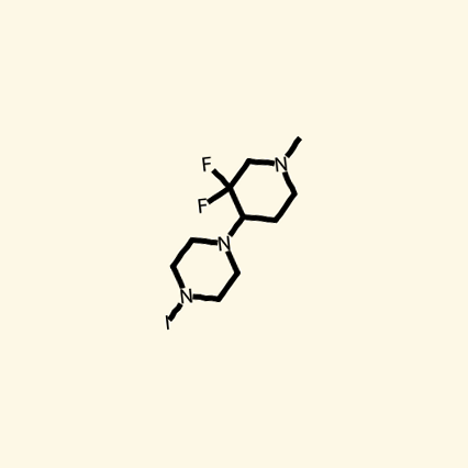 CN1CCC(N2CCN(I)CC2)C(F)(F)C1